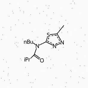 CCCCN(C(=O)C(C)C)c1nnc(C)s1